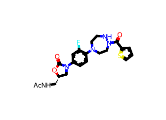 CC(=O)NC[C@H]1CN(c2ccc(N3CCNN(C(=O)c4cccs4)CC3)c(F)c2)C(=O)O1